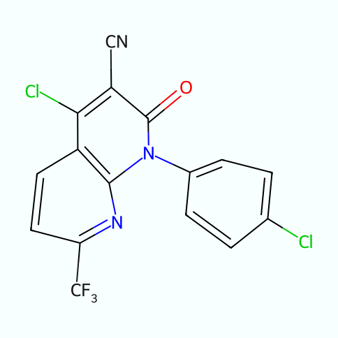 N#Cc1c(Cl)c2ccc(C(F)(F)F)nc2n(-c2ccc(Cl)cc2)c1=O